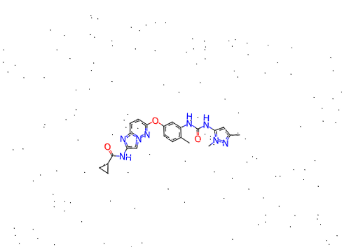 Cc1cc(NC(=O)Nc2cc(Oc3ccc4nc(NC(=O)C5CC5)cn4n3)ccc2C)n(C)n1